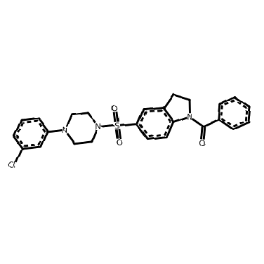 O=C(c1ccccc1)N1CCc2cc(S(=O)(=O)N3CCN(c4cccc(Cl)c4)CC3)ccc21